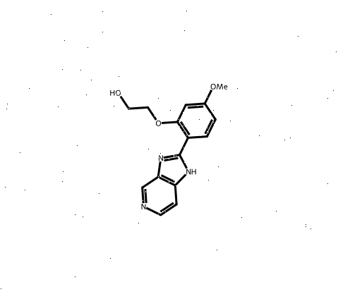 COc1ccc(-c2nc3cnccc3[nH]2)c(OCCO)c1